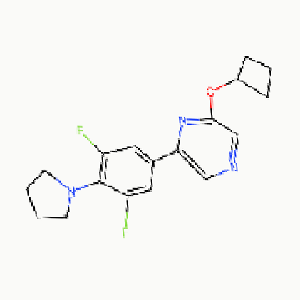 Fc1cc(-c2cncc(OC3CCC3)n2)cc(F)c1N1CCCC1